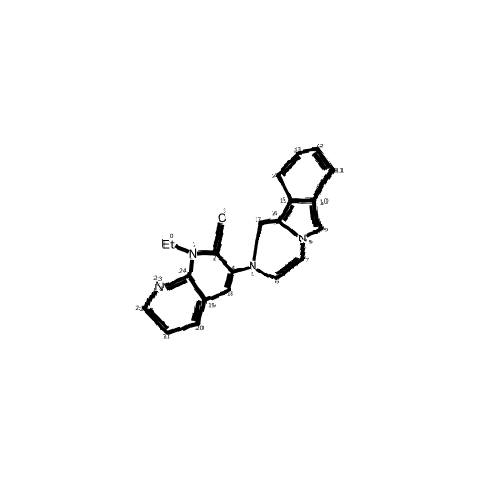 CCn1c(=O)c(N2C=Cn3cc4ccccc4c3C2)cc2cccnc21